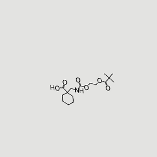 CC(C)(C)C(=O)OCCOC(=O)NCC1(C(=O)O)CCCCC1